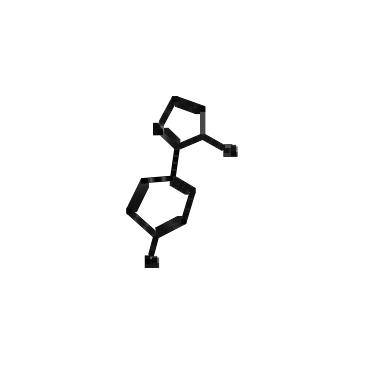 CCc1ccc(C2=NC=CC2CC)cc1